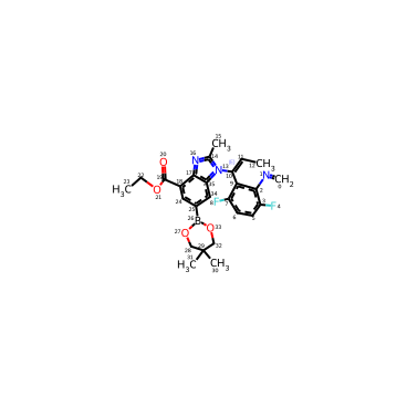 C=Nc1c(F)ccc(F)c1/C(=C\C)n1c(C)nc2c(C(=O)OCC)cc(B3OCC(C)(C)CO3)cc21